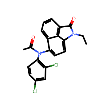 CCN1C(=O)c2cccc3c(N(C(C)=O)c4ccc(Cl)cc4Cl)ccc1c23